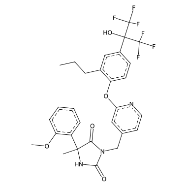 CCCc1cc(C(O)(C(F)(F)F)C(F)(F)F)ccc1Oc1cc(CN2C(=O)NC(C)(c3ccccc3OC)C2=O)ccn1